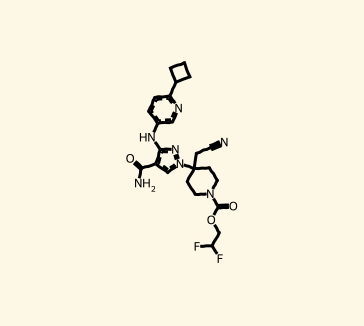 N#CCC1(n2cc(C(N)=O)c(Nc3ccc(C4CCC4)nc3)n2)CCN(C(=O)OCC(F)F)CC1